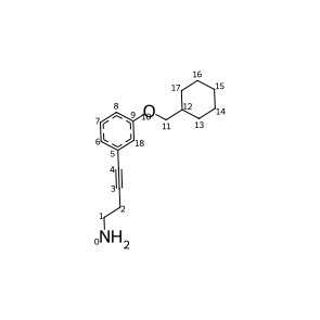 NCCC#Cc1cccc(OCC2CCCCC2)c1